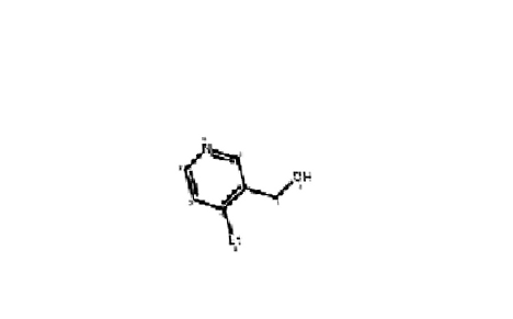 CCc1ccncc1CO